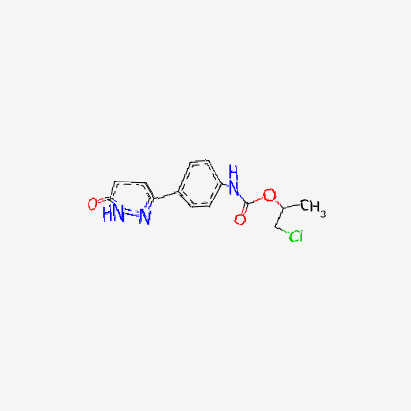 CC(CCl)OC(=O)Nc1ccc(-c2ccc(=O)[nH]n2)cc1